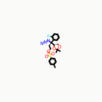 Cc1ccc(S(=O)(=O)OCC[C@@](N=[N+]=[N-])(c2ccccc2F)[C@@H]2COC(C)(C)O2)cc1